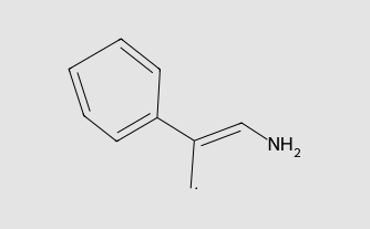 [CH2]C(=CN)c1ccccc1